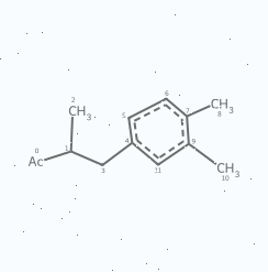 CC(=O)C(C)Cc1ccc(C)c(C)c1